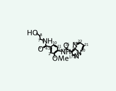 COc1cc(C(=O)NCCO)ccc1NC(=O)c1cnn2cccnc12